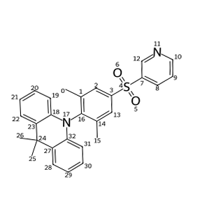 Cc1cc(S(=O)(=O)c2cccnc2)cc(C)c1N1c2ccccc2C(C)(C)c2ccccc21